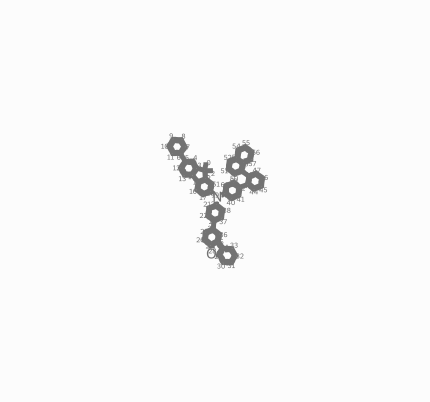 CC1(C)c2cc(-c3ccccc3)ccc2-c2ccc(N(c3ccc(-c4ccc5oc6ccccc6c5c4)cc3)c3ccc(-c4ccccc4-c4cccc5ccccc45)cc3)cc21